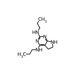 CCCNc1nc(NCCC)c2c(n1)NCC2